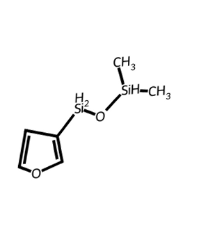 C[SiH](C)O[SiH2]c1ccoc1